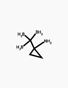 BC(B)(B)C1(N)CC1